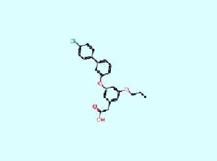 CCCOc1cc(CC(=O)O)cc(Oc2cccc(-c3ccc(Cl)cc3)c2)c1